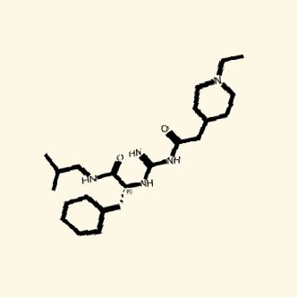 CCN1CCC(CC(=O)NC(=N)N[C@H](CC2CCCCC2)C(=O)NCC(C)C)CC1